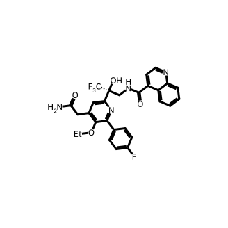 CCOc1c(CC(N)=O)cc([C@@](O)(CNC(=O)c2ccnc3ccccc23)C(F)(F)F)nc1-c1ccc(F)cc1